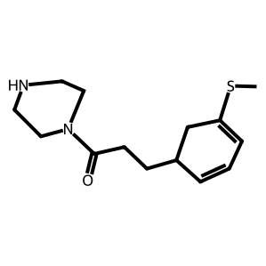 CSC1=CC=CC(CCC(=O)N2CCNCC2)C1